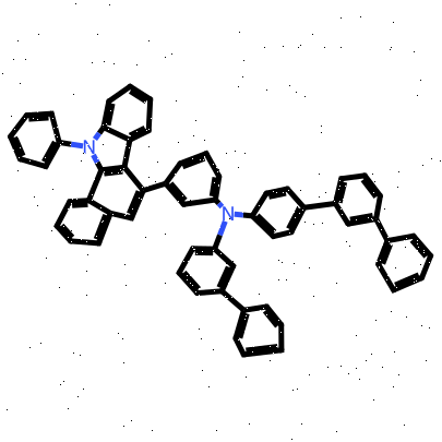 c1ccc(-c2cccc(-c3ccc(N(c4cccc(-c5ccccc5)c4)c4cccc(-c5cc6ccccc6c6c5c5ccccc5n6-c5ccccc5)c4)cc3)c2)cc1